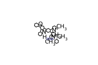 C/C=C\C=C1\c2ccccc2C(C)C(Cc2cc3cc4c(cc3c3ccc(C)c[n+]23)c2cc3oc5ccccc5c3c3c5ccccc5n4c23)[N+]1(C)C